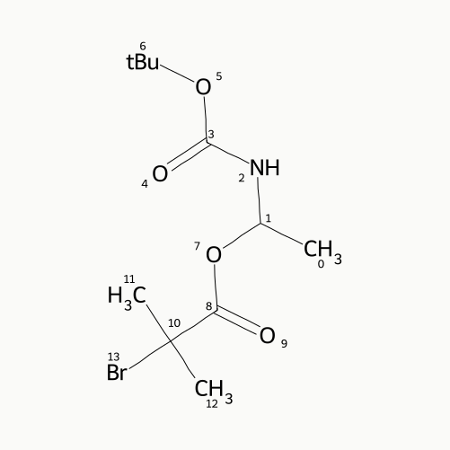 CC(NC(=O)OC(C)(C)C)OC(=O)C(C)(C)Br